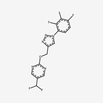 Cc1c(F)ccc(-n2cc(COc3ncc(C(F)F)cn3)nn2)c1F